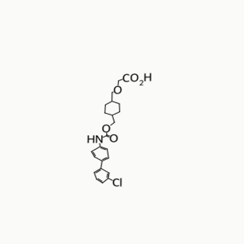 O=C(O)COCC1CCC(COC(=O)Nc2ccc(-c3cccc(Cl)c3)cc2)CC1